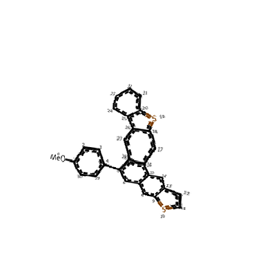 COc1ccc(-c2cc3cc4sccc4cc3c3cc4sc5ccccc5c4cc23)cc1